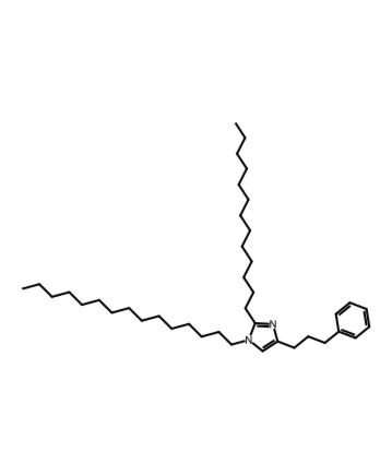 CCCCCCCCCCCCCCCn1cc(CCCc2ccccc2)nc1CCCCCCCCCCCCC